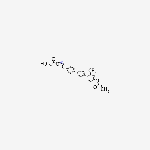 C=CC(=O)O/C=C\Oc1ccc(-c2ccc(-c3ccc(OC(=O)C=C)cc3C(F)(F)F)cc2)cc1